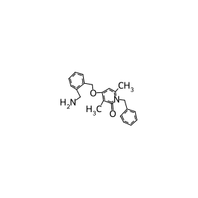 Cc1c(OCc2ccccc2CN)cc(C)n(Cc2ccccc2)c1=O